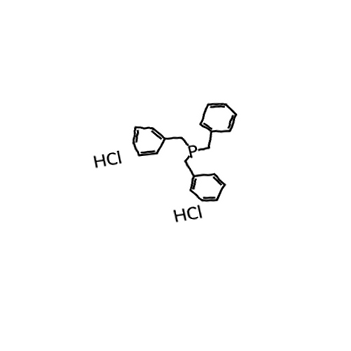 Cl.Cl.c1ccc(CP(Cc2ccccc2)Cc2ccccc2)cc1